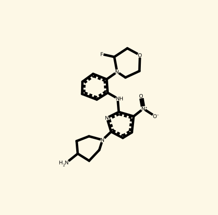 NC1CCN(c2ccc([N+](=O)[O-])c(Nc3ccccc3N3CCOCC3F)n2)CC1